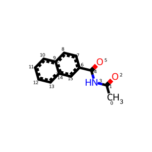 CC(=O)NC(=O)c1ccc2ccccc2c1